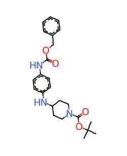 CC(C)(C)OC(=O)N1CCC(Nc2ccc(NC(=O)OCc3ccccc3)cc2)CC1